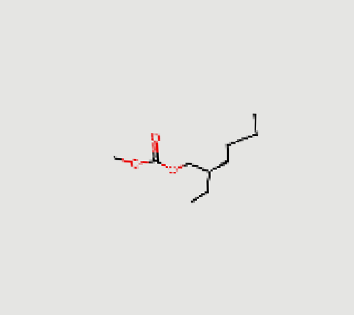 CCCC[C@@H](CC)COC(=O)OC